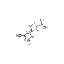 O=C(O)C1CCN(c2cc(O)cc(F)c2)C1